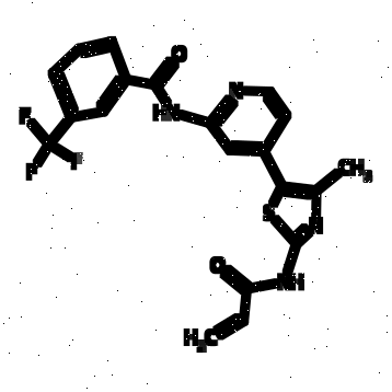 C=CC(=O)Nc1nc(C)c(-c2ccnc(NC(=O)c3cccc(C(F)(F)F)c3)c2)s1